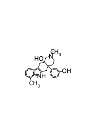 Cc1cccc2c3c([nH]c12)CC1(c2cccc(O)c2)CCN(C)CC1(O)C3